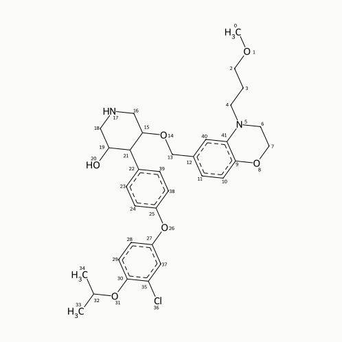 COCCCN1CCOc2ccc(COC3CNCC(O)C3c3ccc(Oc4ccc(OC(C)C)c(Cl)c4)cc3)cc21